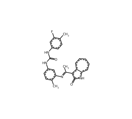 C/C(=N\c1cc(NC(=O)Nc2ccc(C)c(F)c2)ccc1C)c1c2cccccc-2[nH]c1=O